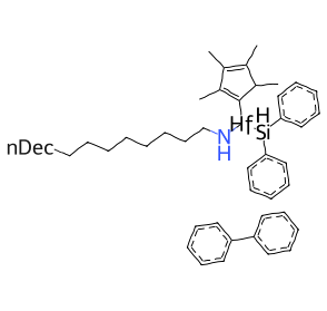 CCCCCCCCCCCCCCCCCC[NH][Hf]([C]1=C(C)C(C)=C(C)C1C)[SiH](c1ccccc1)c1ccccc1.c1ccc(-c2ccccc2)cc1